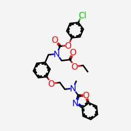 CCOC(=O)CN(Cc1cccc(OCCN(C)c2nc3ccccc3o2)c1)C(=O)Oc1ccc(Cl)cc1